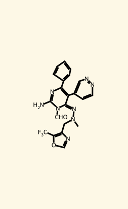 CN(Cc1ncoc1C(F)(F)F)/N=c1/c(-c2ccnnc2)c(-c2ccccc2)nc(N)n1C=O